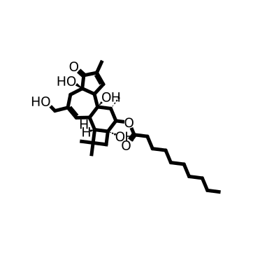 CCCCCCCCCC(=O)OC1[C@@H](C)[C@]2(O)C3C=C(C)C(=O)[C@@]3(O)CC(CO)=C[C@H]2[C@@H]2C(C)(C)C[C@]12O